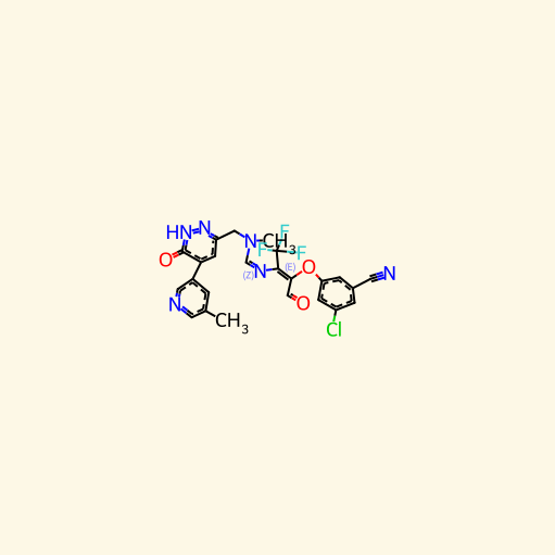 Cc1cncc(-c2cc(CN(C)/C=N\C(=C(/C=O)Oc3cc(Cl)cc(C#N)c3)C(F)(F)F)n[nH]c2=O)c1